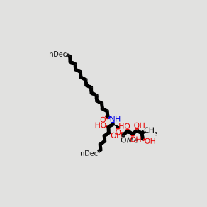 CCCCCCCCCCCCCCCCCCCCCCCCCC(=O)N[C@@H](COC(OC)C(O)C(O)C(O)C(C)CO)[C@H](O)[C@H](O)CCCCCCCCCCCCCC